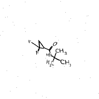 CC(C)(C)NC(=O)C1CC1(F)F